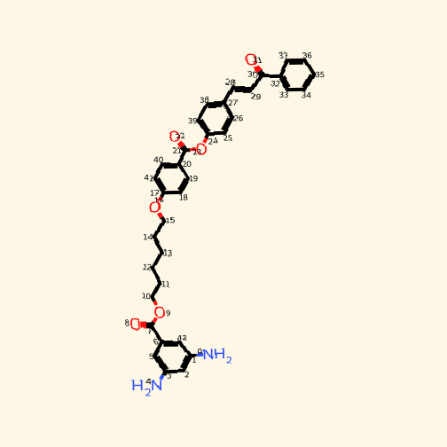 Nc1cc(N)cc(C(=O)OCCCCCCOc2ccc(C(=O)Oc3ccc(C=CC(=O)c4ccccc4)cc3)cc2)c1